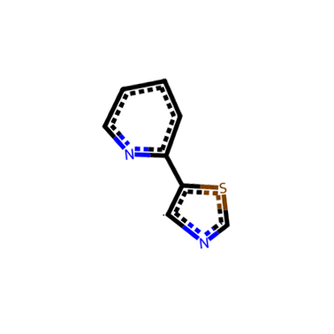 [c]1ncsc1-c1ccccn1